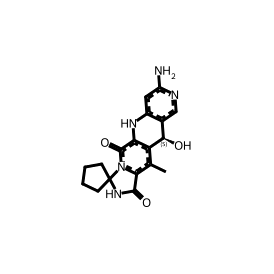 Cc1c2c(c(=O)n3c1C(=O)NC31CCCC1)Nc1cc(N)ncc1[C@H]2O